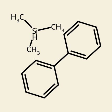 C[SiH](C)C.c1ccc(-c2ccccc2)cc1